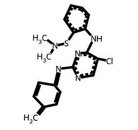 C=C1C=CC(=Nc2ncc(Cl)c(Nc3ccccc3SN(C)C)n2)C=C1